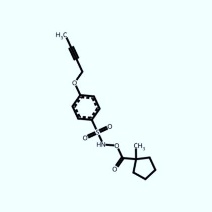 CC#CCOc1ccc(S(=O)(=O)NOC(=O)C2(C)CCCC2)cc1